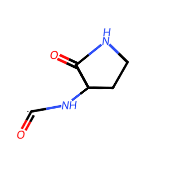 O=[C]NC1CCNC1=O